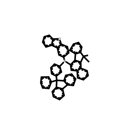 CC1(C)c2ccccc2-c2c(N(c3cccc(C4(c5ccccc5)c5ccccc5-c5ccccc54)c3)c3ccc4oc5ccccc5c4c3)cc3ccccc3c21